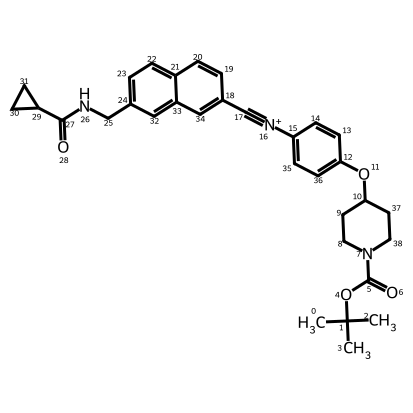 CC(C)(C)OC(=O)N1CCC(Oc2ccc([N+]#Cc3ccc4ccc(CNC(=O)C5CC5)cc4c3)cc2)CC1